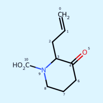 C=CCC1C(=O)CCCN1C(=O)O